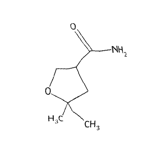 CC1(C)CC(C(N)=O)CO1